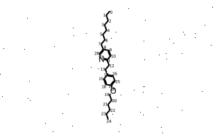 CCCCCCCCc1ccc(CCc2ccc(OCCCCCC)cc2)nc1